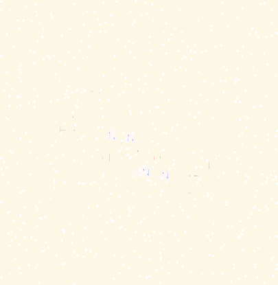 O=C(Nc1nc(-c2cccc(C(F)(F)F)c2F)cs1)c1cnc(N2CC(C(=O)O)C(c3ccccc3Cl)C2)c(Cl)c1